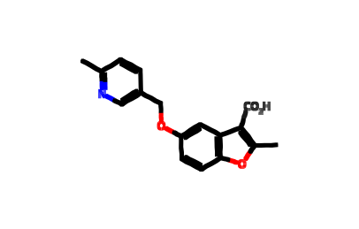 Cc1ccc(COc2ccc3oc(C)c(C(=O)O)c3c2)cn1